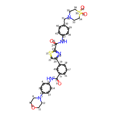 O=C(Nc1ccc(N2CCOCC2)cc1)c1cccc(-c2csc(C(=O)Nc3ccc(CN4CCS(=O)(=O)CC4)cc3)n2)c1